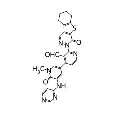 Cn1cc(-c2ccnc(-n3ncc4c5c(sc4c3=O)CCCC5)c2C=O)cc(Nc2ccncn2)c1=O